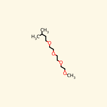 COCCOCCOCCOCCC(C)C